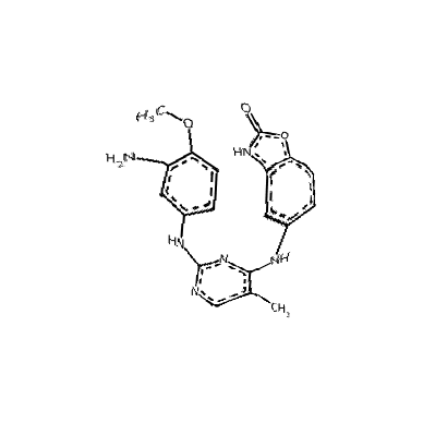 COc1ccc(Nc2ncc(C)c(Nc3ccc4oc(=O)[nH]c4c3)n2)cc1N